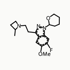 COc1cc2c(CCN3CCC3C)nn(C3CCCCO3)c2cc1F